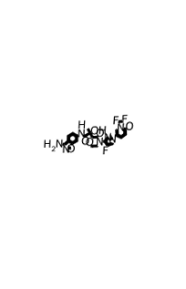 CC(O)(C(=O)Nc1ccc2c(N)noc2c1)C1OCCN(c2nn(-c3ccc(=O)n(C(F)F)c3)cc2F)C1=O